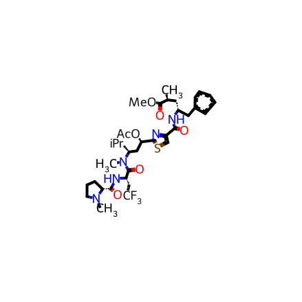 COC(=O)[C@@H](C)C[C@H](Cc1ccccc1)NC(=O)c1csc([C@@H](C[C@H](C(C)C)N(C)C(=O)[C@H](CC(F)(F)F)NC(=O)[C@H]2CCCN2C)OC(C)=O)n1